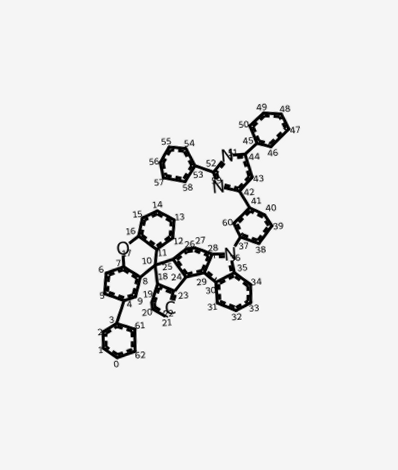 c1ccc(-c2ccc3c(c2)C2(c4ccccc4O3)c3ccccc3-c3c2ccc2c3c3ccccc3n2-c2cccc(-c3cc(-c4ccccc4)nc(-c4ccccc4)n3)c2)cc1